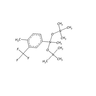 Cc1ccc([Si](C)(O[Si](C)(C)C)O[Si](C)(C)C)cc1C(F)(F)F